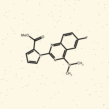 COC(=O)c1cccn1-c1nc(N(C)C)c2cc(F)ccc2n1